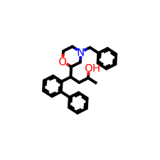 CC(O)CC(c1ccccc1-c1ccccc1)C1CN(Cc2ccccc2)CCO1